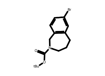 CC(C)(C)OC(=O)N1CCCc2cc(Br)ccc2C1